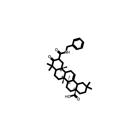 CC1(C)CC[C@]2(C(=O)O)CC[C@]3(C)C(=CCC4[C@@]5(C)CC(C(=O)NCc6ccccc6)C(=O)C(C)(C)C5CC[C@]43C)C2C1